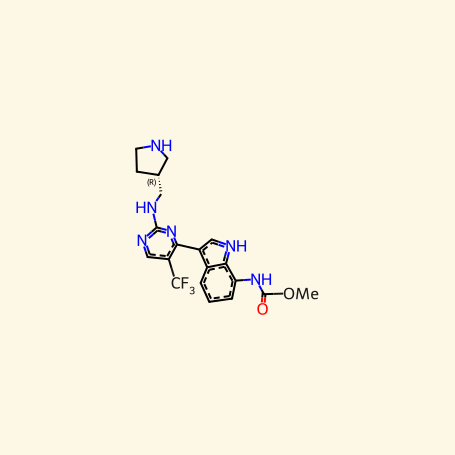 COC(=O)Nc1cccc2c(-c3nc(NC[C@@H]4CCNC4)ncc3C(F)(F)F)c[nH]c12